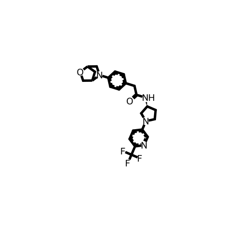 O=C(Cc1ccc(N2CC3CC2CO3)cc1)N[C@@H]1CCN(c2ccc(C(F)(F)F)nc2)C1